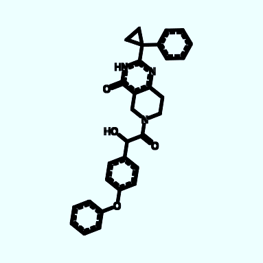 O=C(C(O)c1ccc(Oc2ccccc2)cc1)N1CCc2nc(C3(c4ccccc4)CC3)[nH]c(=O)c2C1